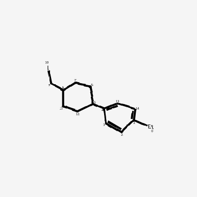 CCc1ccc(C2CCC(CI)CC2)cc1